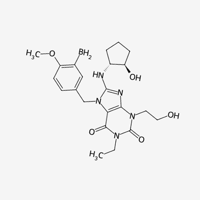 Bc1cc(Cn2c(N[C@@H]3CCC[C@H]3O)nc3c2c(=O)n(CC)c(=O)n3CCO)ccc1OC